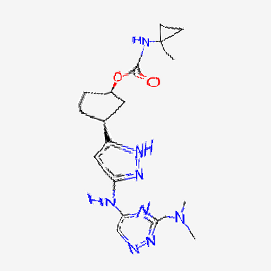 CN(C)c1nncc(Nc2cc([C@H]3CC[C@@H](OC(=O)NC4(C)CC4)C3)[nH]n2)n1